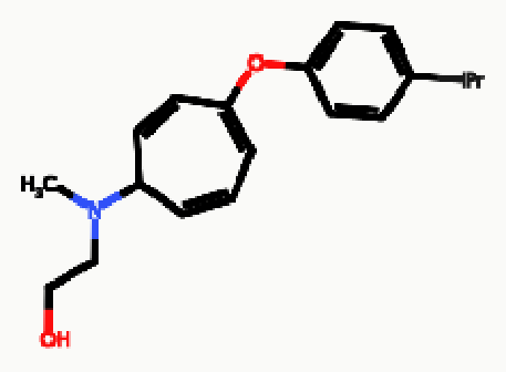 CC(C)c1ccc(OC2=CC=CC(N(C)CCO)C=C2)cc1